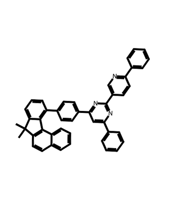 CC1(C)c2cccc(-c3ccc(-c4cc(-c5ccccc5)nc(-c5ccc(-c6ccccc6)nc5)n4)cc3)c2-c2c1ccc1ccccc21